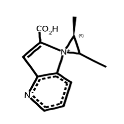 CC1[C@H](C)[N+]12C(C(=O)O)=Cc1ncccc12